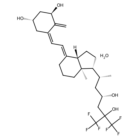 C=C1/C(=C\C=C2/CCC[C@]3(C)[C@@H]([C@H](C)C[C@H](O)CC(O)(C(F)(F)F)C(F)(F)F)CC[C@@H]23)C[C@H](O)C[C@H]1O.O